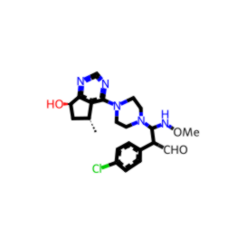 CONC(C(C=O)c1ccc(Cl)cc1)N1CCN(c2ncnc3c2[C@H](C)C[C@H]3O)CC1